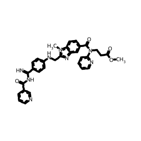 COC(=O)CCN(C(=O)c1ccc2c(c1)nc(CNc1ccc(C(=N)NC(=O)c3cccnc3)cc1)n2C)c1ccccn1